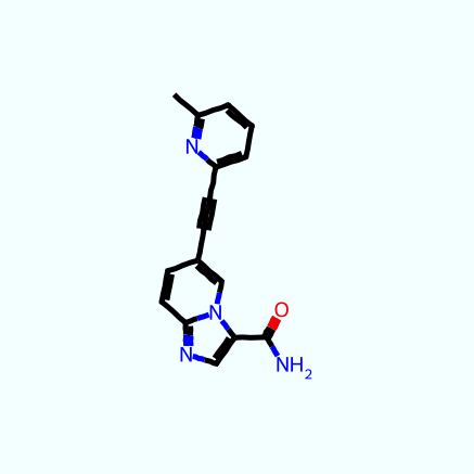 Cc1cccc(C#Cc2ccc3ncc(C(N)=O)n3c2)n1